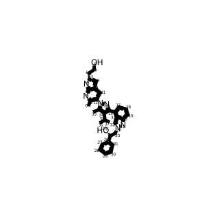 Cc1nc2nn(CCO)cc2cc1-n1nc(-c2cccc3nn(C[C@H](O)c4ccccc4)cc23)c(C(C)C)c1C